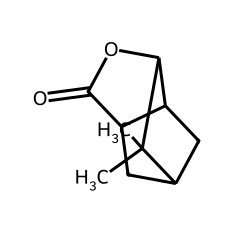 CC1(C)C2CC3C(=O)OC1C3C2